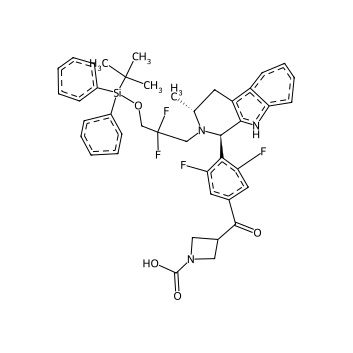 C[C@@H]1Cc2c([nH]c3ccccc23)[C@@H](c2c(F)cc(C(=O)C3CN(C(=O)O)C3)cc2F)N1CC(F)(F)CO[Si](c1ccccc1)(c1ccccc1)C(C)(C)C